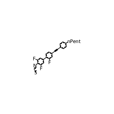 CCCCCc1ccc(C#Cc2ccc(-c3cc(F)c(N=C=S)c(F)c3)c(F)c2)cc1